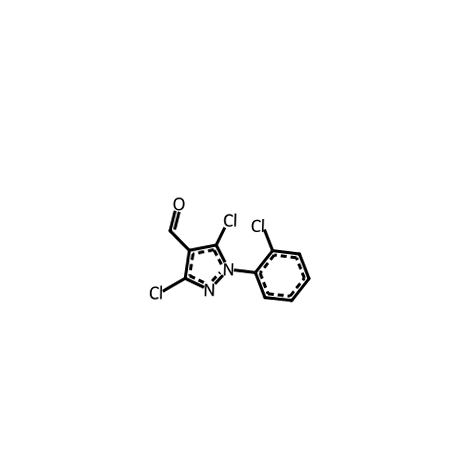 O=Cc1c(Cl)nn(-c2ccccc2Cl)c1Cl